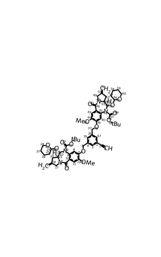 C#Cc1cc(COc2cc3c(cc2OC)C(=O)N2CC(=C)C[C@H]2[C@H](OC2CCCCO2)N3C(=O)OC(C)(C)C)cc(COc2cc3c(cc2OC)C(=O)N2CC(=C)C[C@H]2[C@H](OC2CCCCO2)N3C(=O)OC(C)(C)C)c1